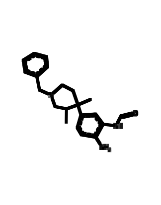 CC1CN(Cc2ccccc2)CCC1(C)c1ccc(N)c(NC=O)c1